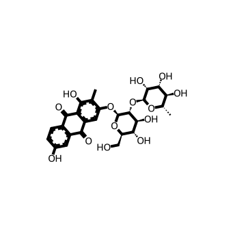 Cc1c(O[C@@H]2O[C@H](CO)[C@@H](O)[C@H](O)[C@H]2O[C@@H]2O[C@@H](C)[C@H](O)[C@@H](O)[C@H]2O)cc2c(c1O)C(=O)c1ccc(O)cc1C2=O